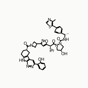 Cc1ncsc1-c1ccc([C@H](C)NC(=O)N2C[C@@H](O)CN2C(=O)[C@H](c2cc(C3CN(C(=O)[C@@H]4CCc5[nH]c6nnc(-c7ccccc7O)cc6c5C4)C3)no2)C(C)C)cc1